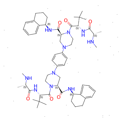 CN[C@@H](C)C(=O)N[C@H](C(=O)N1CCN(c2ccc(N3CCN(C(=O)[C@@H](NC(=O)[C@H](C)NC)C(C)(C)C)[C@H](C(=O)N[C@@H]4CCCc5ccccc54)C3)cc2)C[C@H]1C(=O)N[C@@H]1CCCc2ccccc21)C(C)(C)C